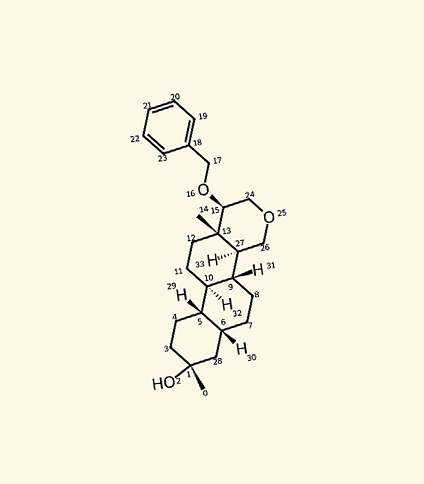 C[C@@]1(O)CC[C@H]2[C@H](CC[C@@H]3[C@@H]2CC[C@]2(C)[C@@H](OCc4ccccc4)COC[C@@H]32)C1